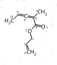 C=CCOC(=O)C(C)=C=CC